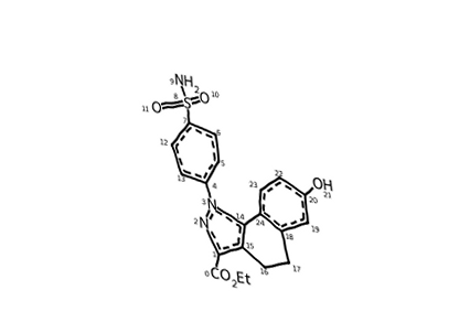 CCOC(=O)c1nn(-c2ccc(S(N)(=O)=O)cc2)c2c1CCc1cc(O)ccc1-2